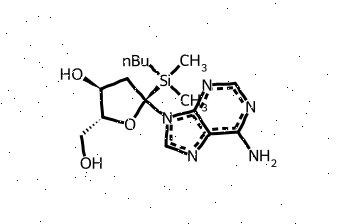 CCCC[Si](C)(C)[C@]1(n2cnc3c(N)ncnc32)C[C@H](O)[C@@H](CO)O1